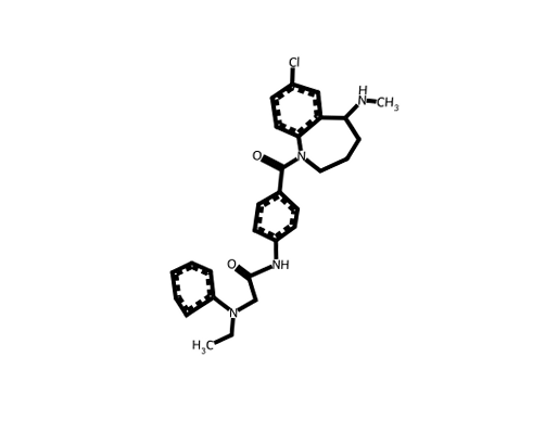 CCN(CC(=O)Nc1ccc(C(=O)N2CCCC(NC)c3cc(Cl)ccc32)cc1)c1ccccc1